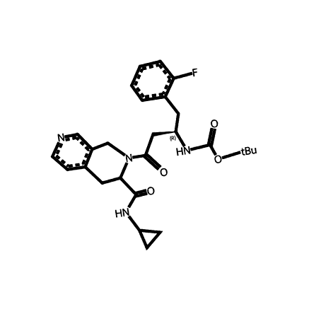 CC(C)(C)OC(=O)N[C@@H](CC(=O)N1Cc2cnccc2CC1C(=O)NC1CC1)Cc1ccccc1F